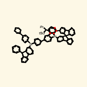 CC(C)C(c1ccc(-c2ccc3c(c2)C2(c4ccccc4-3)c3ccccc3-c3ccc(-n4c5ccccc5c5cc(-c6ccc(N(c7ccc(-c8ccccc8)cc7)c7ccc8c(c7)C(c7ccccc7)c7ccccc7-8)cc6)ccc54)cc32)cc1)C(C)(C)C